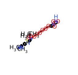 CN(C)c1ccc(-c2ccc(-c3nc4ccc(N(CCOCCOCCOCCOCCOCCOc5ccc6c(c5)CN(C5CCC(=O)NC5=O)C6=O)C(=O)OC(C)(C)C)cc4s3)cc2)cn1